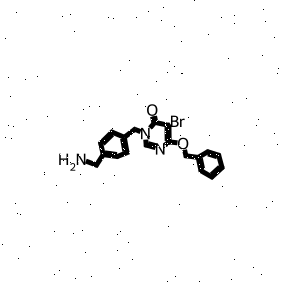 NCc1ccc(Cn2cnc(OCc3ccccc3)c(Br)c2=O)cc1